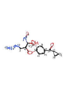 [N-]=[N+]=NCC(Oc1ccc(C(=O)C2CC2)cc1)C(O)N=O